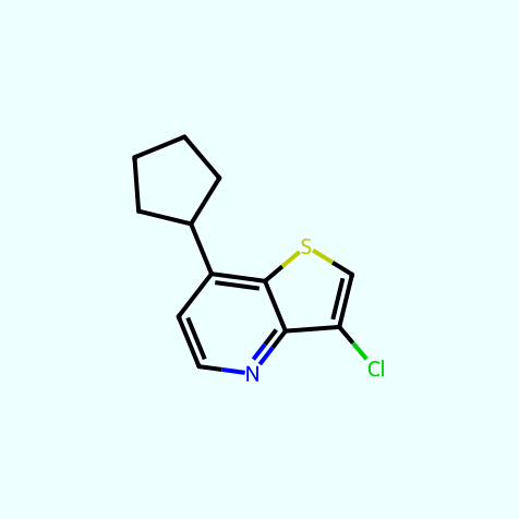 Clc1csc2c(C3CCCC3)ccnc12